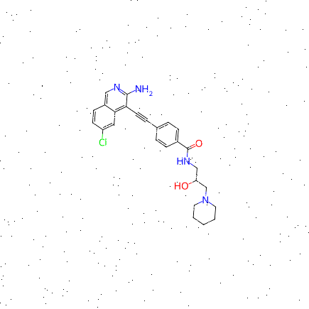 Nc1ncc2ccc(Cl)cc2c1C#Cc1ccc(C(=O)NCC(O)CN2CCCCC2)cc1